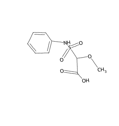 COC(C(=O)O)S(=O)(=O)Nc1ccccc1